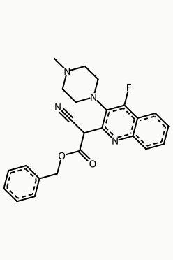 CN1CCN(c2c(C(C#N)C(=O)OCc3ccccc3)nc3ccccc3c2F)CC1